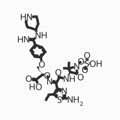 CCc1sc(N)nc1/C(=N/O[C@@H](COc1ccc(C(=N)NC2CCNCC2)cc1)C(=O)O)C(=O)N[C@@H]1C(=O)N(OS(=O)(=O)O)C1(C)C